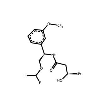 CC(C)[C@@H](O)CC(=O)N[C@@H](COC(F)F)c1cccc(OC(F)(F)F)c1